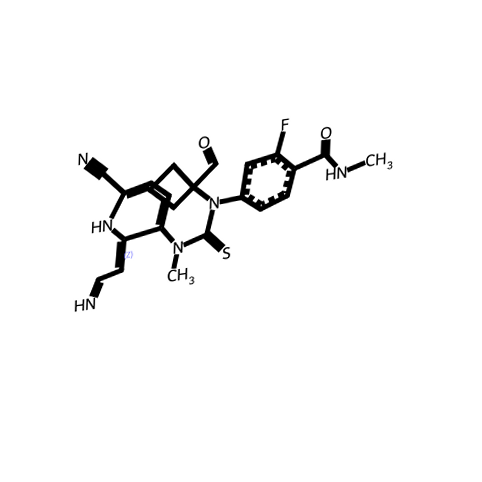 CNC(=O)c1ccc(N(C(=S)N(C)C2=CC=C(C#N)N/C2=C\C=N)C2(C=O)CCC2)cc1F